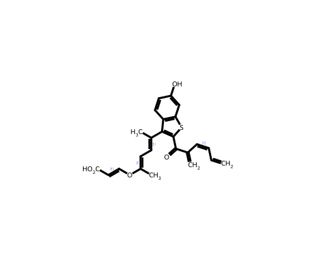 C=C/C=C\C(=C)C(=O)c1sc2cc(O)ccc2c1/C(C)=C/C=C(\C)O/C=C/C(=O)O